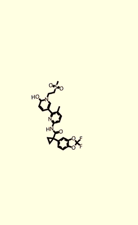 Cc1ccc(NC(=O)C2(c3ccc4c(c3)OC(F)(F)O4)CC2)nc1C1=CN(CCS(C)(=O)=O)C(O)C=C1